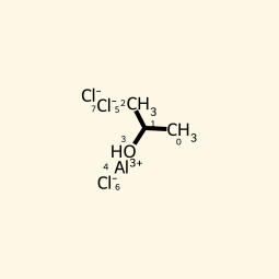 CC(C)O.[Al+3].[Cl-].[Cl-].[Cl-]